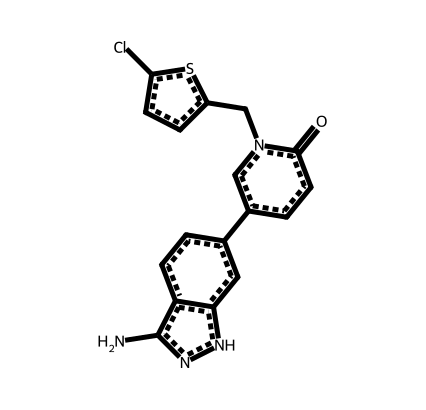 Nc1n[nH]c2cc(-c3ccc(=O)n(Cc4ccc(Cl)s4)c3)ccc12